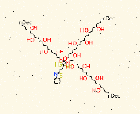 CCCCCCCCCCCCCC(O)CCC(O)CCC(O)CCC(O)CCC(O)CCO[Si](OCCC(O)CCC(O)CCC(O)CCC(O)CCC(O)CCCCCCCCCCCCC)(OCCC(O)CCC(O)CCC(O)CCC(O)CCC(O)CCCCCCCCCCCCC)C(S)(S)CCc1nc2ccccc2s1